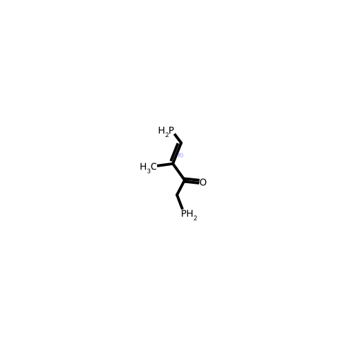 C/C(=C\P)C(=O)CP